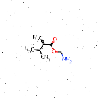 C=C(C(=O)OCN)C(C)C